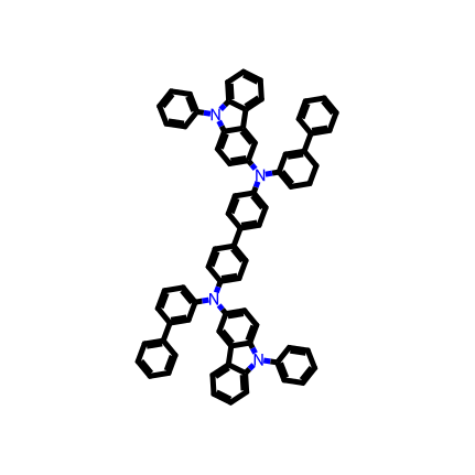 C1=C(c2ccccc2)CCC=C1N(c1ccc(-c2ccc(N(c3cccc(-c4ccccc4)c3)c3ccc4c(c3)c3ccccc3n4-c3ccccc3)cc2)cc1)c1ccc2c(c1)c1ccccc1n2-c1ccccc1